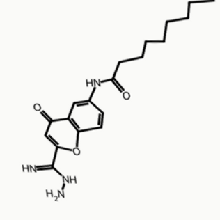 CCCCCCCCC(=O)Nc1ccc2oc(C(=N)NN)cc(=O)c2c1